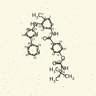 Cc1ccc(NC(=O)c2ccc(OC(=O)NC(C)(C)C)cc2)cc1Nc1nc(-c2cccnc2)cs1